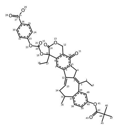 CC/C1=C2\Cn3c(cc4c(c3=O)COC(=O)C4(CC)OC(=O)Oc3ccc([N+](=O)[O-])cc3)\C2=C/CC(C)c2ccc(OC(=O)C(C)(C)C)cc21